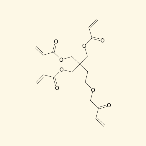 C=CC(=O)COCCC(COC(=O)C=C)(COC(=O)C=C)COC(=O)C=C